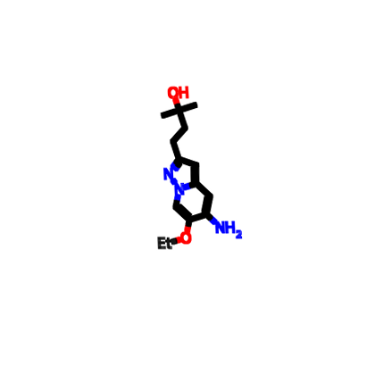 CCOc1cn2nc(CCC(C)(C)O)cc2cc1N